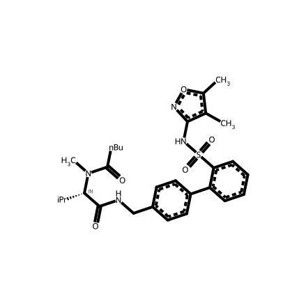 CCCCC(=O)N(C)[C@H](C(=O)NCc1ccc(-c2ccccc2S(=O)(=O)Nc2noc(C)c2C)cc1)C(C)C